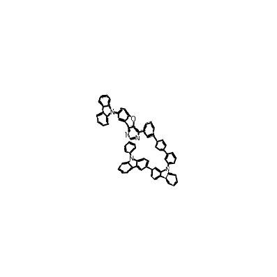 c1ccc(-n2c3ccccc3c3cc(-c4ccc5c6ccccc6n(-c6cccc(-c7ccc(-c8cccc(-c9ncnc%10c9oc9ccc(-n%11c%12ccccc%12c%12ccccc%12%11)cc9%10)c8)cc7)c6)c5c4)ccc32)cc1